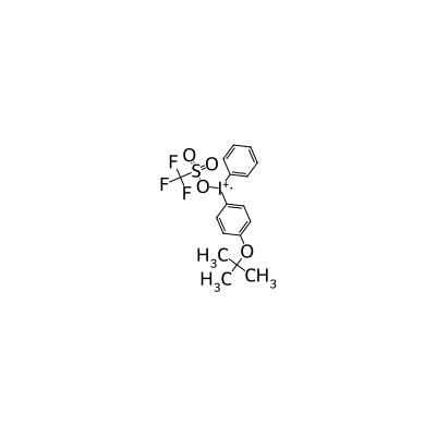 CC(C)(C)Oc1ccc([I+](OS(=O)(=O)C(F)(F)F)c2ccccc2)cc1